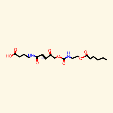 CCCCCC(=O)OCCNC(=O)OCC(=O)/C=C/C(=O)NCCCC(=O)O